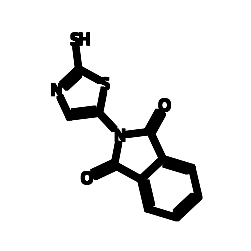 O=C1c2ccccc2C(=O)N1c1cnc(S)s1